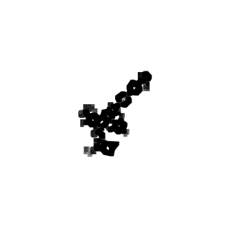 NC(=O)c1cc(-c2cc3sc(N4CCN(c5ccc(-c6ncc[nH]6)cc5)CC4)nc3nc2[C@H](Cc2cc(F)cc(F)c2)NC(=O)Cn2nc(C(F)(F)F)c3c2C2CC2CC3)ccc1F